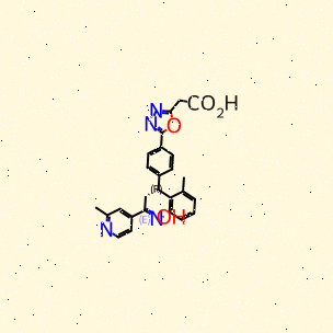 Cc1cc(/C(C[C@H](c2ccc(-c3nnc(CC(=O)O)o3)cc2)c2ccccc2C)=N/O)ccn1